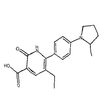 CCc1cc(C(=O)O)c(=O)[nH]c1-c1ccc(N2CCCC2C)cc1